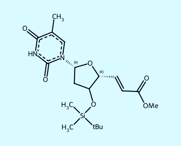 COC(=O)C=C[C@H]1O[C@@H](n2cc(C)c(=O)[nH]c2=O)CC1O[Si](C)(C)C(C)(C)C